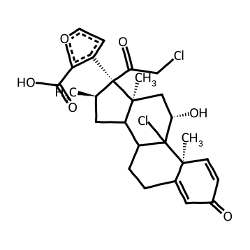 C[C@@H]1CC2C3CCC4=CC(=O)C=C[C@]4(C)C3(Cl)[C@@H](O)C[C@]2(C)[C@@]1(C(=O)CCl)c1ccoc1C(=O)O